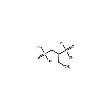 CCC(CP(=O)(O)O)P(=O)(O)O